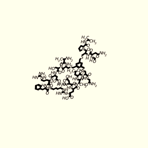 CNC(CC(=O)O)C(=O)NC(CCC(=O)O)C(=O)NC(C)C(=O)NC(CC(C)C)C(=O)NC(CSCc1cc(CSCC(NC(=O)C(C)N)C(=O)NC(CO)C(=O)NC(CC(=O)O)C(=O)NC(CCCNC(=N)N)C(=O)NC(Cc2ccccc2)C(=O)NCCCCNC(=N)N)cc(CSCC(NC(=O)C(CC(N)=O)NC=O)C(=O)N2CCCC2C(=O)NC(C)C)c1)C(=O)NCC(N)=O